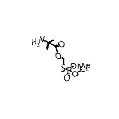 CCOP(=O)(OC)SCOC(=O)C(C)(C)N